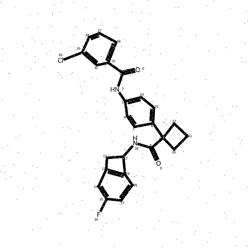 O=C(Nc1ccc(C2(C(=O)NC3Cc4cc(F)ccc43)CCC2)cc1)c1cccc(Cl)c1